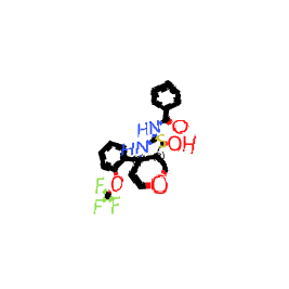 O=C(NC(=S)N[C@@]1(c2ccccc2OC(F)(F)F)CCOC[C@H]1CO)c1ccccc1